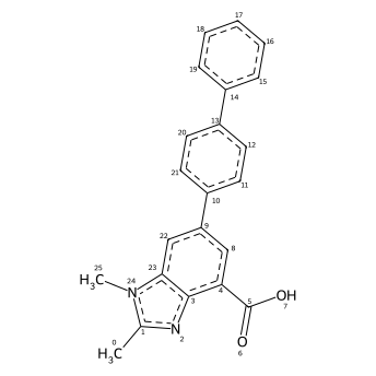 Cc1nc2c(C(=O)O)cc(-c3ccc(-c4ccccc4)cc3)cc2n1C